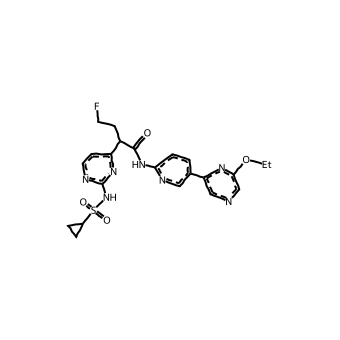 CCOc1cncc(-c2ccc(NC(=O)C(CCF)c3ccnc(NS(=O)(=O)C4CC4)n3)nc2)n1